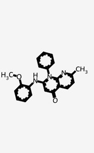 COc1ccccc1Nc1cc(=O)c2ccc(C)nc2n1-c1ccccc1